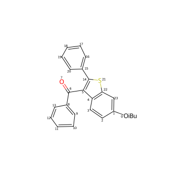 CC(C)COc1ccc2c(C(=O)c3ccccc3)c(-c3ccccc3)sc2c1